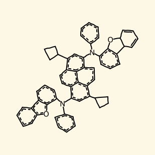 C1=CC2Oc3c(cccc3N(c3ccccc3)c3cc(C4CCC4)c4ccc5c(N(c6ccccc6)c6cccc7c6oc6ccccc67)cc(C6CCC6)c6ccc3c4c65)C2C=C1